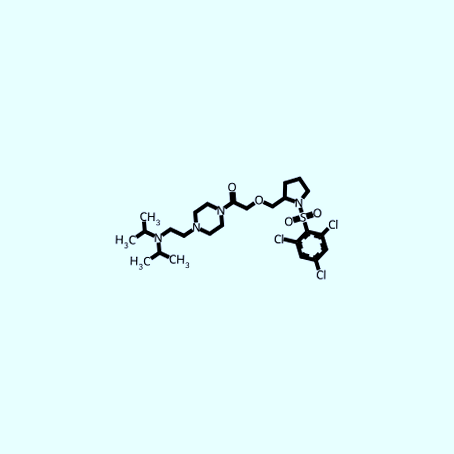 CC(C)N(CCN1CCN(C(=O)COCC2CCCN2S(=O)(=O)c2c(Cl)cc(Cl)cc2Cl)CC1)C(C)C